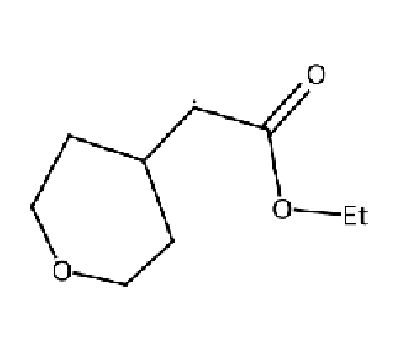 CCOC(=O)[CH]C1CCOCC1